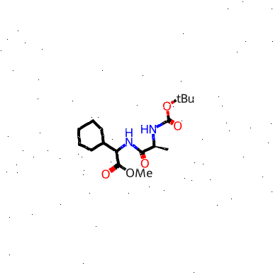 COC(=O)C(NC(=O)[C@H](C)NC(=O)OC(C)(C)C)C1CCCCC1